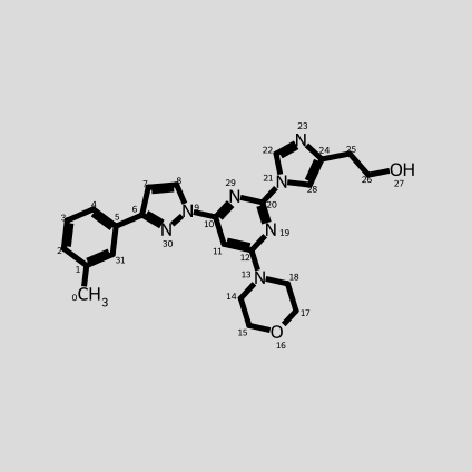 Cc1cccc(-c2ccn(-c3cc(N4CCOCC4)nc(-n4cnc(CCO)c4)n3)n2)c1